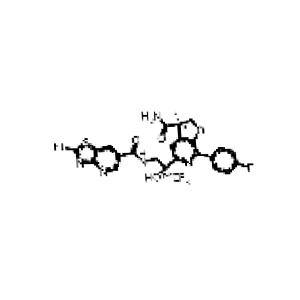 CCc1nc2ncc(C(=O)NC[C@](O)(c3cc4c(c(-c5ccc(F)cc5)n3)OC[C@]4(C)C(N)=O)C(F)(F)F)cc2s1